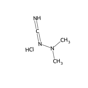 CN(C)N=C=N.Cl